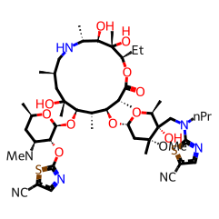 CCCN(C[C@]1(O)[C@H](C)O[C@@H](O[C@H]2[C@H](C)[C@@H](O[C@@H]3O[C@H](C)C[C@H](NC)[C@H]3Oc3ncc(C#N)s3)[C@](C)(O)C[C@@H](C)CN[C@H](C)[C@@H](O)[C@](C)(O)[C@@H](CC)OC(=O)[C@@H]2C)C[C@@]1(C)OC)c1ncc(C#N)s1